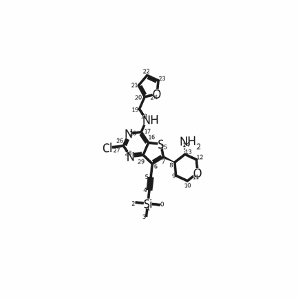 C[Si](C)(C)C#Cc1c([C@@H]2CCOC[C@H]2N)sc2c(NCc3ccco3)nc(Cl)nc12